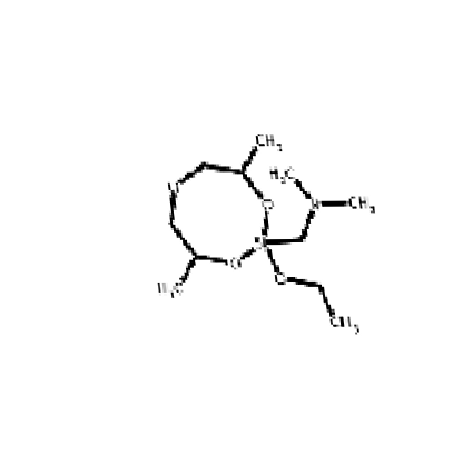 CCO[Si]1(CN(C)C)OC(C)COCC(C)O1